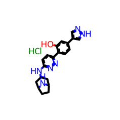 Cl.Oc1cc(-c2cn[nH]c2)ccc1-c1ccc(NC2CC3CCC(C2)N3)nn1